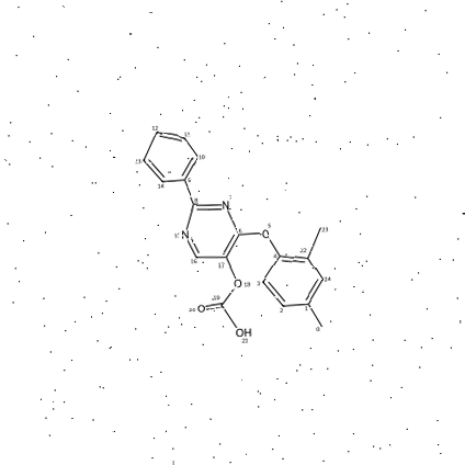 Cc1ccc(Oc2nc(-c3ccccc3)ncc2OC(=O)O)c(C)c1